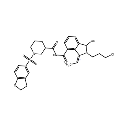 C=C(NC(=O)C1CCCN(S(=O)(=O)c2ccc3c(c2)CCO3)C1)c1cccc2c1/C(=C\C)N(CCCCl)C2O